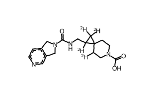 [2H]C1CN(C(=O)O)CCC12C([2H])([2H])C2([2H])CNC(=O)N1Cc2ccncc2C1